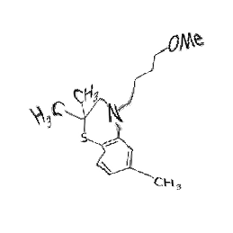 COCCCCN1CC(C)(C)Sc2ccc(C)cc21